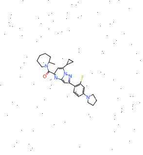 CC1CCCCCN1C(=O)c1cc(C2CC2)n2nc(-c3ccc(N4CCCC4)cc3F)cc2n1